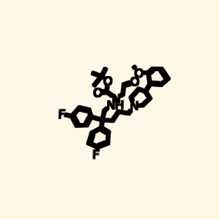 COc1ccccc1C1CCN(CCCC(CNN(CC=O)C(=O)OC(C)(C)C)(c2ccc(F)cc2)c2ccc(F)cc2)CC1